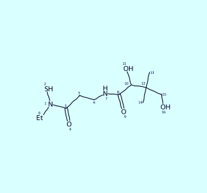 CCN(S)C(=O)CCNC(=O)C(O)C(C)(C)CO